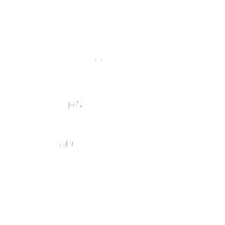 CCCCC1(C)COCN1